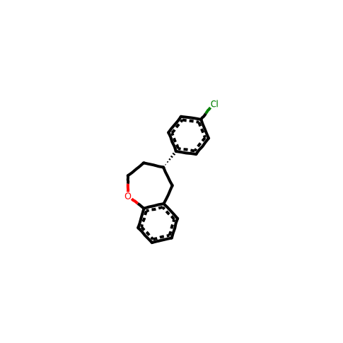 Clc1ccc([C@H]2CCOc3ccccc3C2)cc1